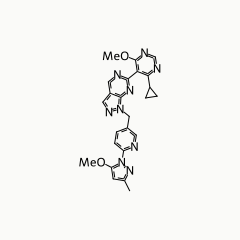 COc1ncnc(C2CC2)c1-c1ncc2cnn(Cc3ccc(-n4nc(C)cc4OC)nc3)c2n1